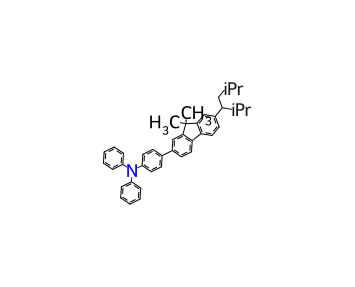 CC(C)CC(c1ccc2c(c1)C(C)(C)c1cc(-c3ccc(N(c4ccccc4)c4ccccc4)cc3)ccc1-2)C(C)C